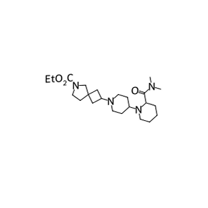 CCOC(=O)N1CCC2(CC(N3CCC(N4CCCCC4C(=O)N(C)C)CC3)C2)C1